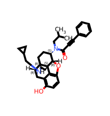 CC(C)CN(C(=O)C#Cc1ccccc1)[C@H]1CC[C@H]2[C@H]3Cc4c(O)ccc5c4[C@@]2(CCN3CC2CC2)[C@H]1O5